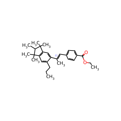 CCCc1cc2c(cc1/C(C)=C/c1ccc(C(=O)OCC)cc1)C(C)(C)C(C)C2(C)C